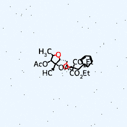 C#C[C@@]1(OC(C)=O)[C@@H](COC(Cc2ccccc2)(C(=O)OCC)C(=O)OCC)OC(C)[C@@H]1OC(C)=O